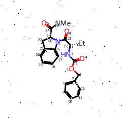 CC[C@H](NC(=O)OCc1ccccc1)C(=O)N1c2ccccc2C[C@H]1C(=O)NC